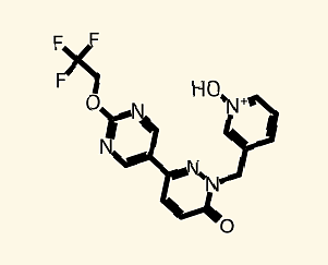 O=c1ccc(-c2cnc(OCC(F)(F)F)nc2)nn1Cc1ccc[n+](O)c1